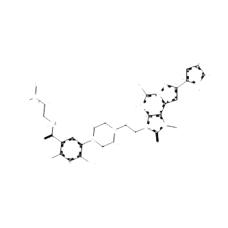 Cn1c(=O)n(CCN2CCN(c3cc(C(=O)NCC[S+](C)[O-])c(F)cc3F)CC2)c2nc(N)n3nc(-c4ccco4)cc3c21